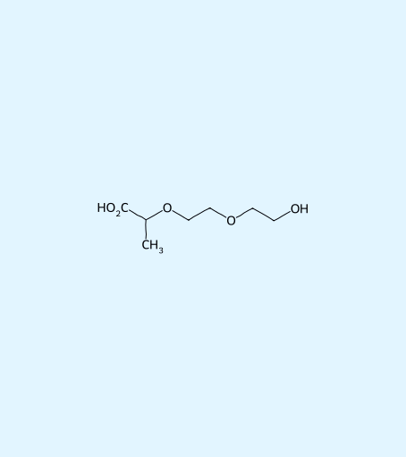 CC(OCCOCCO)C(=O)O